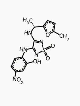 Cc1ccc([C@@H](C)NC2=NS(=O)(=O)N=C2Nc2ccc([N+](=O)[O-])cc2O)o1